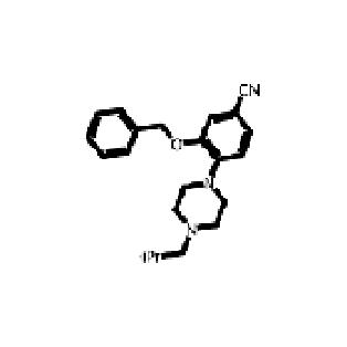 C[C](C)CN1CCN(c2ccc(C#N)cc2OCc2ccccc2)CC1